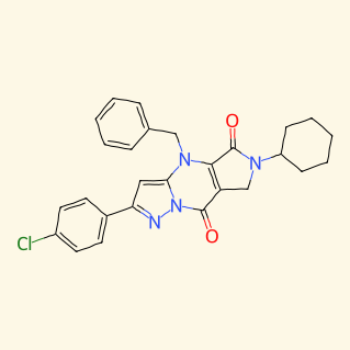 O=C1c2c(c(=O)n3nc(-c4ccc(Cl)cc4)cc3n2Cc2ccccc2)CN1C1CCCCC1